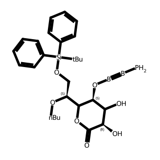 CCCCO[C@@H](CO[Si](c1ccccc1)(c1ccccc1)C(C)(C)C)C1OC(=O)[C@H](O)C(O)[C@@H]1OB=BP